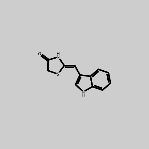 O=C1CSC(=Cc2c[nH]c3ccccc23)N1